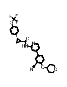 N#Cc1cc(-c2ccnc(NC(=O)[C@H]3C[C@@H]3c3ccc(OC(F)(F)F)cc3)c2)ccc1OC1CCOCC1